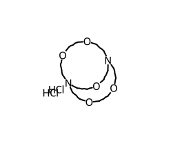 C1COCCN2CCOCCOCCN(CCO1)CCOCC2.Cl.Cl